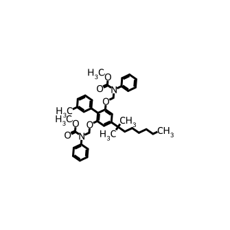 CCCCCCC(C)(C)c1cc(OCN(C(=O)OC)c2ccccc2)c(-c2cccc(C)c2)c(OCN(C(=O)OC)c2ccccc2)c1